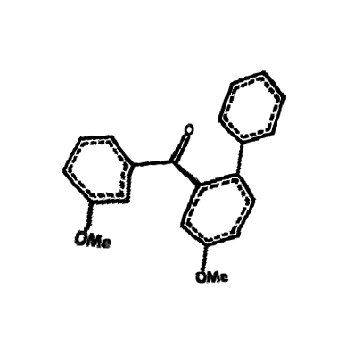 COc1cccc(C(=O)c2cc(OC)ccc2-c2ccccc2)c1